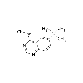 CC(C)(C)c1ccc2ncnc([Se]Cl)c2c1